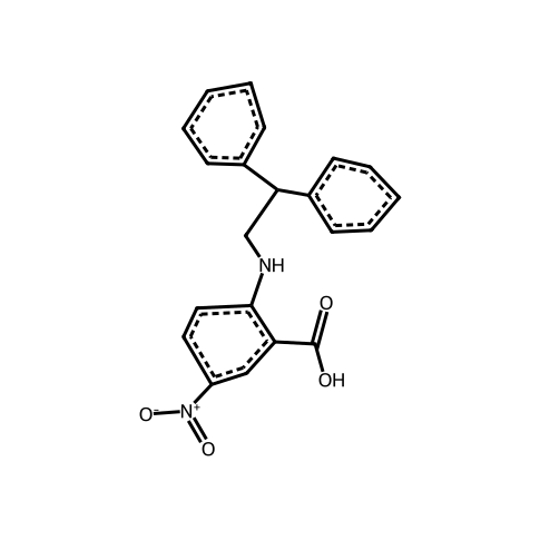 O=C(O)c1cc([N+](=O)[O-])ccc1NCC(c1ccccc1)c1ccccc1